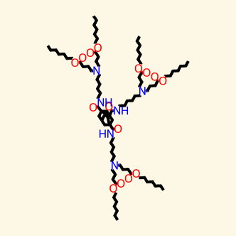 CCCCCCCOC(=O)CCCN(CCCCCCNC(=O)C12CC3CC(C(=O)NCCCCCCN(CCCC(=O)OCCCCCCC)CCCC(=O)OCCCCCCC)(C1)CC(C(=O)NCCCCCCN(CCCC(=O)OCCCCCCC)CCCC(=O)OCCCCCCC)(C3)C2)CCCC(=O)OCCCCCCC